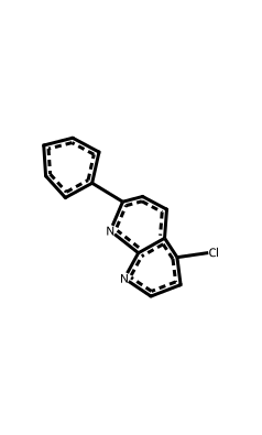 Clc1ccnc2nc(-c3ccccc3)ccc12